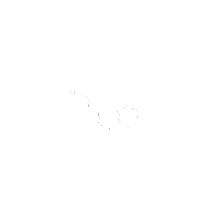 CN(CCCC#N)Cc1ccc(Cl)cc1